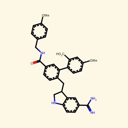 COc1ccc(CNC(=O)c2ccc(CC3CNc4ccc(C(=N)N)cc43)c(-c3ccc(OC)cc3C(=O)O)c2)cc1